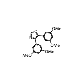 COc1cc(OC)cc(-c2ncoc2-c2cc(OC)cc(OC)c2)c1